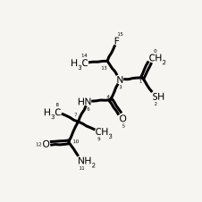 C=C(S)N(C(=O)NC(C)(C)C(N)=O)C(C)F